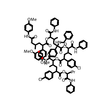 COc1ccc(NC(=O)[CH]C(C)CC(C(=O)OC(C(=O)Nc2ccccc2)C(C)CC(NC(=O)c2ccccc2)(C(=O)OC(C(=O)Nc2ccccc2)C(C)CC(C(=O)OC(C(=O)Nc2ccc(OC)cc2)C(C)CC(C(=O)OC(C(=O)Nc2ccccc2)C(C)C)c2ccc(Cl)cc2)c2ccc(Cl)cc2)c2ccccc2)c2ccc(OC)cc2)cc1